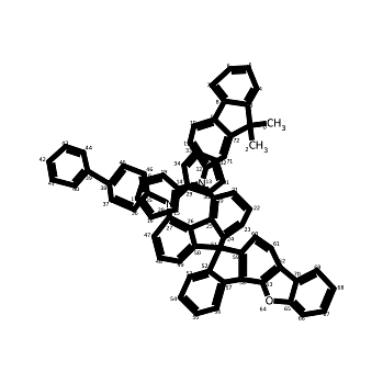 CC1(C)c2ccccc2-c2ccc(N(c3ccccc3)c3cccc4c3-c3c(N(c5ccccc5)c5ccc(-c6ccccc6)cc5)cccc3C43c4ccccc4-c4c3ccc3c4oc4ccccc43)cc21